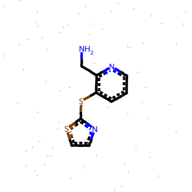 NCc1ncccc1Sc1nccs1